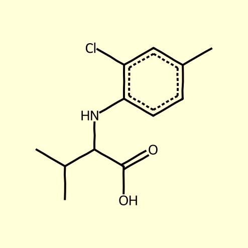 Cc1ccc(NC(C(=O)O)C(C)C)c(Cl)c1